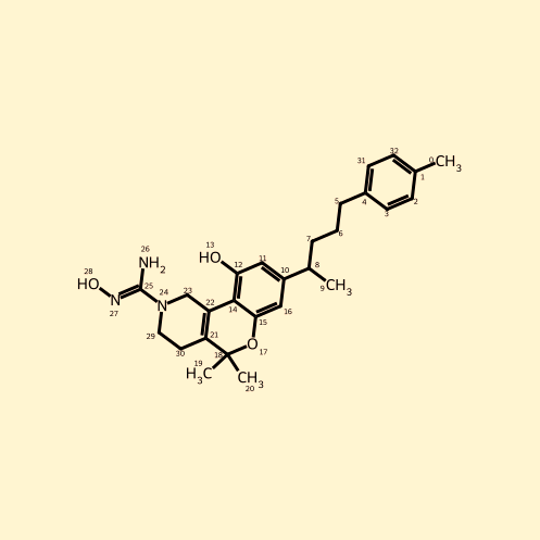 Cc1ccc(CCCC(C)c2cc(O)c3c(c2)OC(C)(C)C2=C3CN(C(N)=NO)CC2)cc1